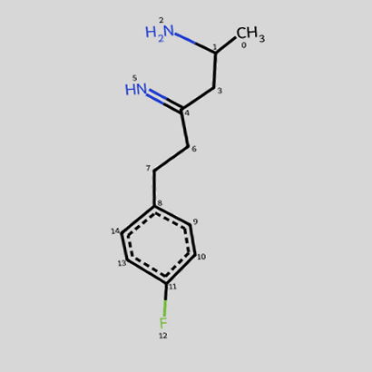 CC(N)CC(=N)CCc1ccc(F)cc1